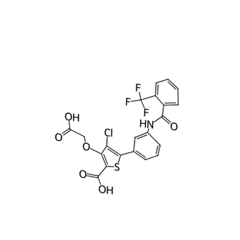 O=C(O)COc1c(C(=O)O)sc(-c2cccc(NC(=O)c3ccccc3C(F)(F)F)c2)c1Cl